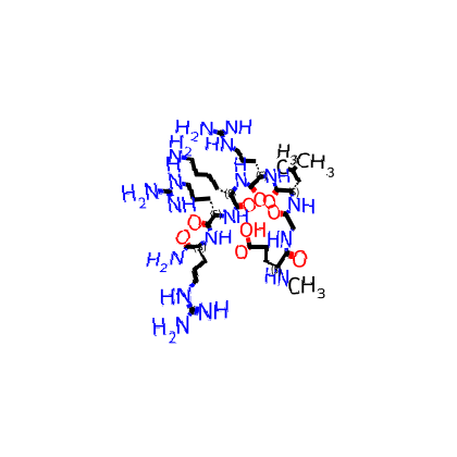 CN[C@@H](CCC(=O)O)C(=O)NCC(=O)N[C@@H](CC(C)C)C(=O)N[C@@H](CCCNC(=N)N)C(=O)N[C@@H](CCCCN)C(=O)N[C@@H](CCCNC(=N)N)C(=O)N[C@@H](CCCNC(=N)N)C(N)=O